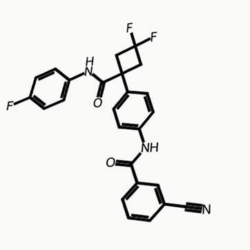 N#Cc1cccc(C(=O)Nc2ccc(C3(C(=O)Nc4ccc(F)cc4)CC(F)(F)C3)cc2)c1